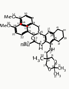 CCCCC(=O)Nc1c(N(Cc2ccc(OC)cc2)Cc2ccc(OC)cc2)nc2c(c1NCC1(C)COC(C)(C)OC1)CCCC2